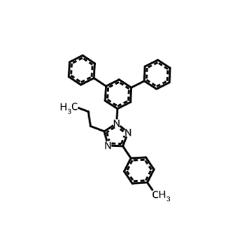 CCCc1nc(-c2ccc(C)cc2)nn1-c1cc(-c2ccccc2)cc(-c2ccccc2)c1